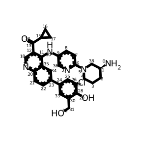 N[C@H]1CCCN(c2ccc(Nc3c(C(=O)C4CC4)cnc4ccc(-c5cc(Cl)c(O)c(CO)c5)cc34)cn2)C1